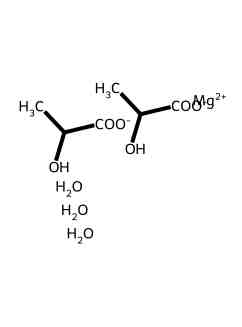 CC(O)C(=O)[O-].CC(O)C(=O)[O-].O.O.O.[Mg+2]